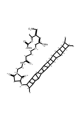 CNC(=O)OC(C)C(=C\[N+](=O)[O-])/C=C(\COCCCC(=O)NCCN1C(=O)CC(SC2C(C)C3C2C2C3C3C2C2C3C3C2C2C4C5C6C7C8C9C(C)C(C)C9C8C7C6C5C4C32)C1=O)OC